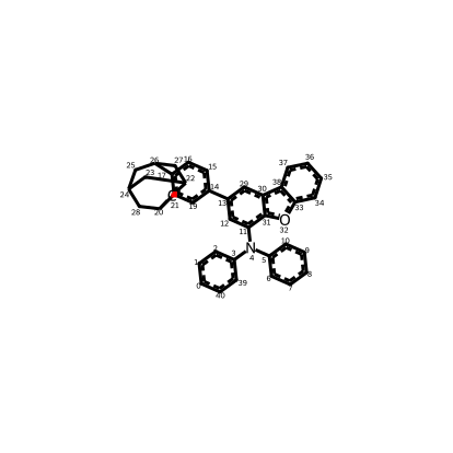 c1ccc(N(c2ccccc2)c2cc(-c3ccc4c(c3)C3CC5CC(CC4C5)C3)cc3c2oc2ccccc23)cc1